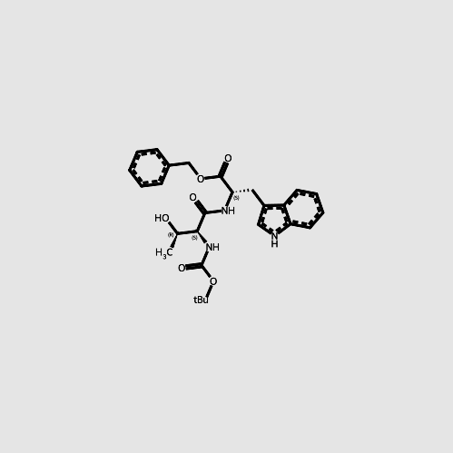 C[C@@H](O)[C@H](NC(=O)OC(C)(C)C)C(=O)N[C@@H](Cc1c[nH]c2ccccc12)C(=O)OCc1ccccc1